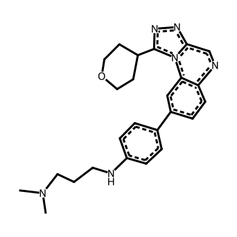 CN(C)CCCNc1ccc(-c2ccc3ncc4nnc(C5CCOCC5)n4c3c2)cc1